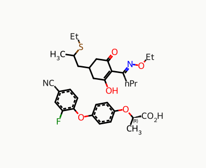 CCCC(=NOCC)C1=C(O)CC(CC(C)SCC)CC1=O.C[C@@H](Oc1ccc(Oc2ccc(C#N)cc2F)cc1)C(=O)O